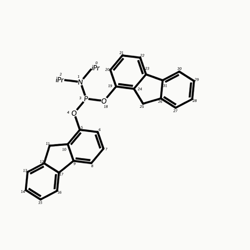 CC(C)N(C(C)C)P(Oc1cccc2c1Cc1ccccc1-2)Oc1cccc2c1Cc1ccccc1-2